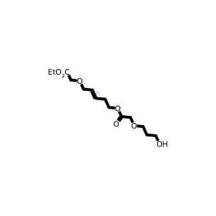 CCOC(=O)COC/C=C/CCOC(=O)COCCCO